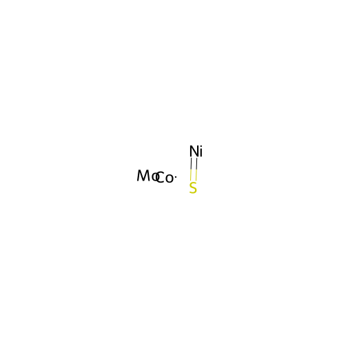 [Co].[Mo].[S]=[Ni]